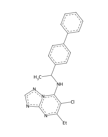 CCc1nc2ncnn2c(NC(C)c2ccc(-c3ccccc3)cc2)c1Cl